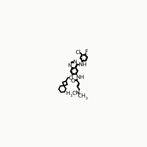 CN(C)C/C=C/C(=O)Nc1cc2c(Nc3ccc(F)c(Cl)c3)ncnc2cc1OCC1CC2(CCCCC2)C1